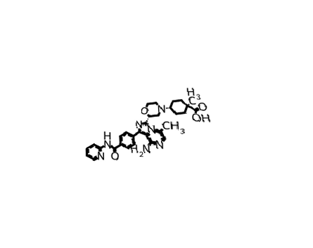 Cc1cnc(N)c2c(-c3ccc(C(=O)Nc4ccccn4)cc3)nc([C@H]3CN([C@H]4CC[C@](C)(C(=O)O)CC4)CCO3)n12